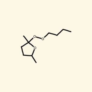 CCCCOOC1(C)CCC(C)O1